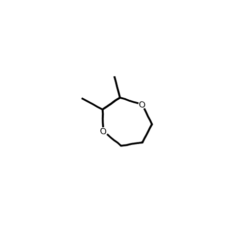 CC1OCCCOC1C